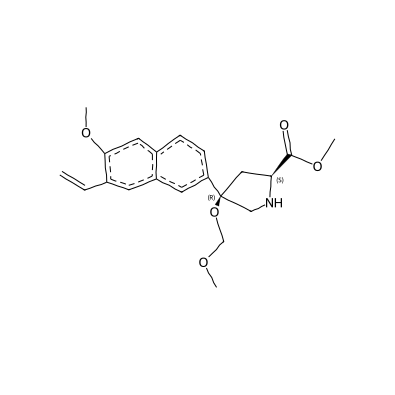 C=Cc1cc2cc([C@@]3(OCOC)CN[C@H](C(=O)OC)C3)ccc2cc1OC